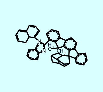 CC1(C)c2c(cccc2-c2nc3ccccc3n2C2=CC=CC3=CC=CCC32)-c2ccc3c(c21)C1(c2ccccc2-3)C2CC3CC(C2)CC1C3